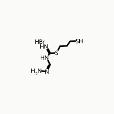 Br.N=C(N/C=N\N)SCCCS